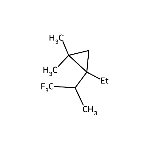 CCC1(C(C)C(F)(F)F)CC1(C)C